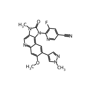 COc1cc2ncc3c(c2cc1-c1cnn(C)c1)n(-c1ncc(C#N)cc1F)c(=O)n3C